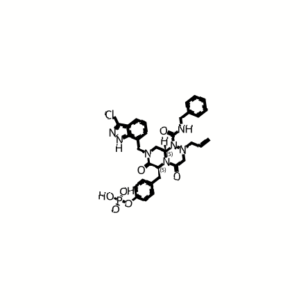 C=CCN1CC(=O)N2[C@@H](Cc3ccc(OP(=O)(O)O)cc3)C(=O)N(Cc3cccc4c(Cl)n[nH]c34)C[C@@H]2N1C(=O)NCc1ccccc1